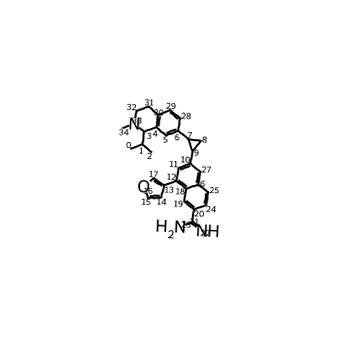 CC(C)C1c2cc(C3CC3c3cc(-c4ccoc4)c4cc(C(=N)N)ccc4c3)ccc2CCN1C